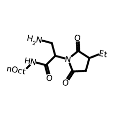 CCCCCCCCNC(=O)C(CN)N1C(=O)CC(CC)C1=O